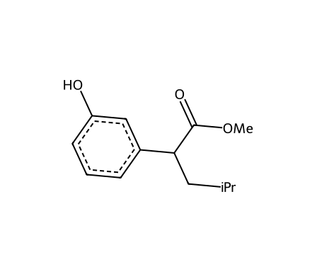 COC(=O)C(CC(C)C)c1cccc(O)c1